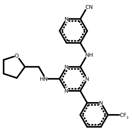 N#Cc1cc(Nc2nc(NCC3CCCO3)nc(-c3cccc(C(F)(F)F)n3)n2)ccn1